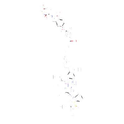 Cc1cc(Nc2ncc(Cl)c(Nc3ccccc3S(=O)(=O)C(C)C)n2)c(OC(C)C)cc1C1CCN(CCOCCC(=O)N2CC3(CCc4cc5c(cc4O3)CN(C3CCC(=O)NC3=O)C5=O)C2)CC1